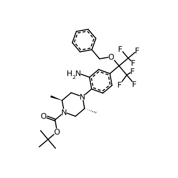 C[C@@H]1CN(C(=O)OC(C)(C)C)[C@@H](C)CN1c1ccc(C(OCc2ccccc2)(C(F)(F)F)C(F)(F)F)cc1N